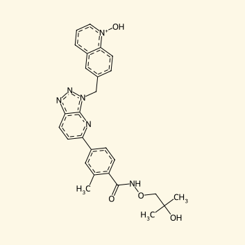 Cc1cc(-c2ccc3nnn(Cc4ccc5c(ccc[n+]5O)c4)c3n2)ccc1C(=O)NOCC(C)(C)O